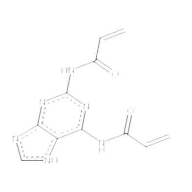 C=CC(=O)Nc1nc(NC(=O)C=C)c2[nH]cnc2n1